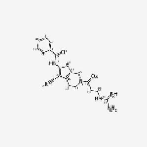 N#Cc1c(NC(=O)c2ccccc2)sc2c1CCN(C(=O)CCNC(=N)N)C2